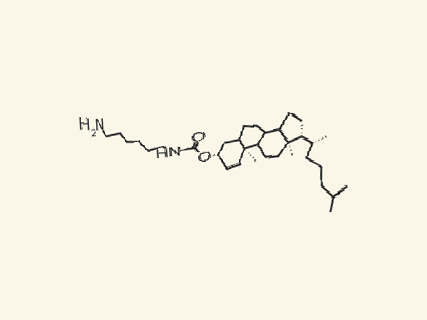 CC(C)CCC[C@@H](C)[C@H]1CCC2C3CCC4C[C@@H](OC(=O)NCCCCCCN)CC[C@]4(C)C3CC[C@@]21C